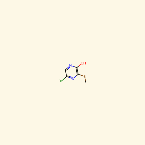 CSc1nc(Br)cnc1O